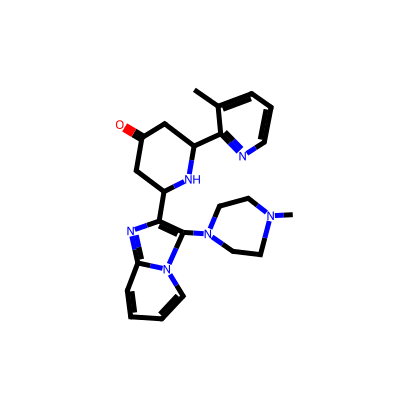 Cc1cccnc1C1CC(=O)CC(c2nc3ccccn3c2N2CCN(C)CC2)N1